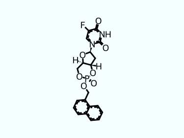 O=c1[nH]c(=O)n([C@H]2C[C@@H]3OP(=O)(OCc4cccc5ccccc45)OC[C@H]3O2)cc1F